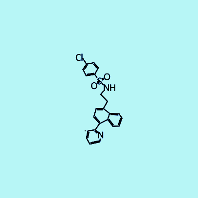 O=S(=O)(NCCc1ccc(-c2[c]cccn2)c2ccccc12)c1ccc(Cl)cc1